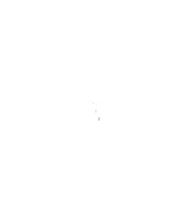 C[N](C)[Nh]